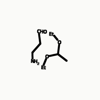 CCOC(C)OCC.NCCC=O